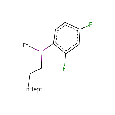 CCCCCCCCCP(CC)c1ccc(F)cc1F